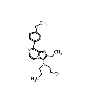 CCCN(CCC)c1c(CC)nc2c(-c3ccc(OC)cc3)nccn12